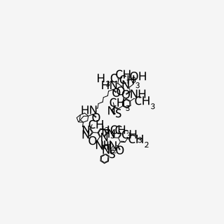 C=C/C=C(/C(=O)Nc1nc2ccccc2s1)C(CN(C)c1ccc(-c2cnn(CC34CC5CC3CC(C(=O)NCCCCCCC(=O)N[C@H](C(=O)N3C[C@H](O)C[C@H]3C(=O)N[C@@H](C)c3ccc(-c6scnc6C)cc3)C(C)(C)C)(C5)C4)c2C)c(C(N)=O)n1)=C(C)C